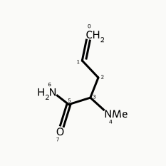 C=CCC(NC)C(N)=O